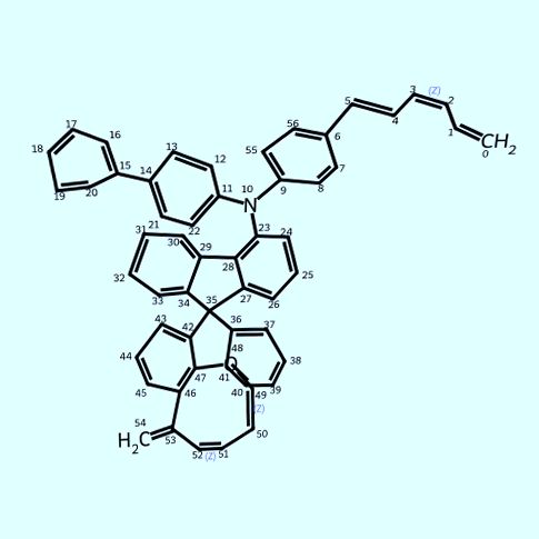 C=C/C=C\C=Cc1ccc(N(c2ccc(-c3ccccc3)cc2)c2cccc3c2-c2ccccc2C3(c2ccccc2)c2cccc3c2O/C=C\C=C/C3=C)cc1